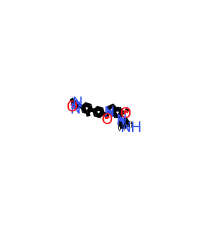 COc1cc2c(cc1N1C[C@@H](C)N[C@@H](C)C1)N(C(=O)c1ccc(-c3ccc(-c4noc(C)n4)cc3C)cc1)CC2